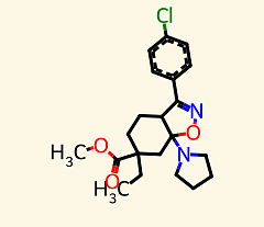 CCC1(C(=O)OC)CCC2C(c3ccc(Cl)cc3)=NOC2(N2CCCC2)C1